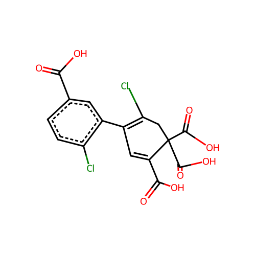 O=C(O)C1=CC(c2cc(C(=O)O)ccc2Cl)=C(Cl)CC1(C(=O)O)C(=O)O